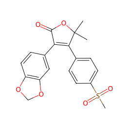 CC1(C)OC(=O)C(c2ccc3c(c2)OCO3)=C1c1ccc(S(C)(=O)=O)cc1